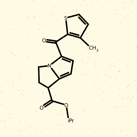 Cc1ccsc1C(=O)c1ccc2n1CCC2C(=O)OC(C)C